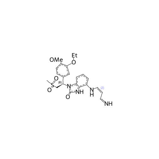 CCOc1cc([C@H](CS(C)(=O)=O)n2c(=O)[nH]c3c(N/C=C\C=N)cccc32)ccc1OC